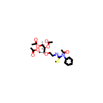 CS/C(=N\CCO[C@H](COC(C)=O)[C@@H](OC(C)=O)[C@@H](C)OC(C)=O)N(C(C)=O)c1ccccc1